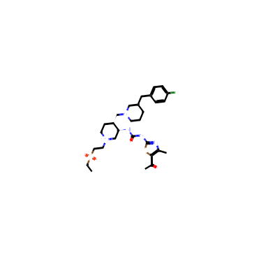 CCS(=O)(=O)CCN1CC[C@@H](CN2CCCC(Cc3ccc(F)cc3)C2)[C@@H](NC(=O)Nc2nc(C)c(C(C)=O)s2)C1